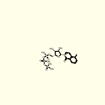 Cc1cccc2c(=O)n([C@@H]3O[C@H](COP(=O)(O)OP(=O)(O)OP(=O)(O)O)[C@@H](O)[C@H]3O)ccc12